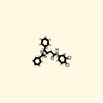 O=C(Cc1sc(-c2ccccc2)nc1-c1ccccc1)Nc1ccc(Cl)c(Cl)c1